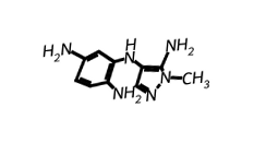 Cn1ncc(Nc2cc(N)ccc2N)c1N